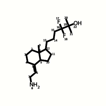 CC12CCC/C(=C\CN)C1CCC2CCCC(F)(F)C(C)(C)O